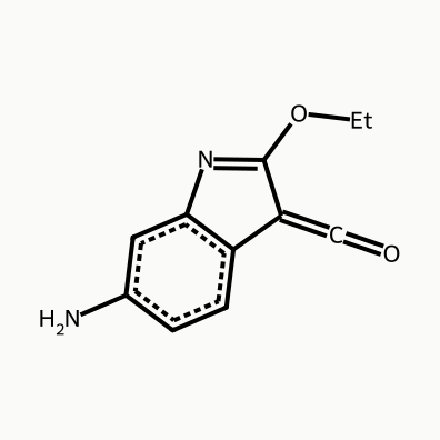 CCOC1=Nc2cc(N)ccc2C1=C=O